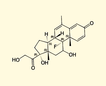 CC1=C[C@H]2[C@@H]3CC[C@](O)(C(=O)CO)[C@@]3(C)CC(O)[C@]2(F)[C@@]2(C)C=CC(=O)C=C12